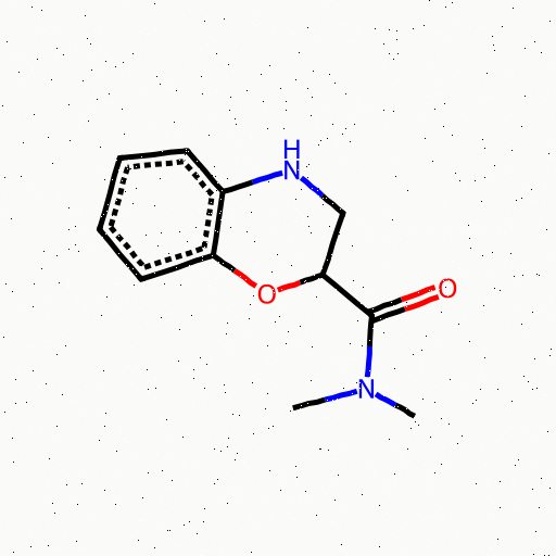 CN(C)C(=O)C1CNc2ccccc2O1